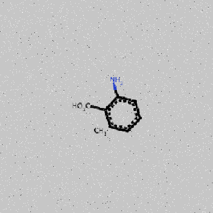 Nc1ccccc1C(=O)O.[CH3]